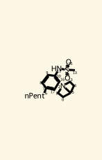 C1CN2CCC12.CCCCCc1ccc(NS(C)(=O)=O)cc1